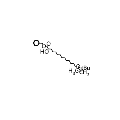 CC(C)(C)[Si](C)(C)OCCCCCCCCCCCCC(O)C(=O)OCc1ccccc1